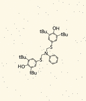 CC(C)(C)c1cc(SCN(CSc2cc(C(C)(C)C)c(O)c(C(C)(C)C)c2)c2ccccc2)cc(C(C)(C)C)c1O